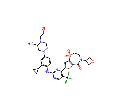 C[C@@H]1CN(c2ccc(Nc3ncc(C(F)(F)F)c(-c4cc5c(s4)C(=O)N(C4COC4)CCS5(=O)=O)n3)c(C3CC3)c2)CCN1CCO